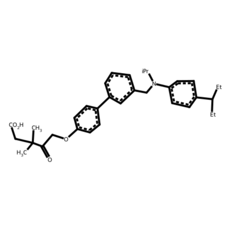 CCC(CC)c1ccc(N(Cc2cccc(-c3ccc(OCC(=O)C(C)(C)CC(=O)O)cc3)c2)C(C)C)cc1